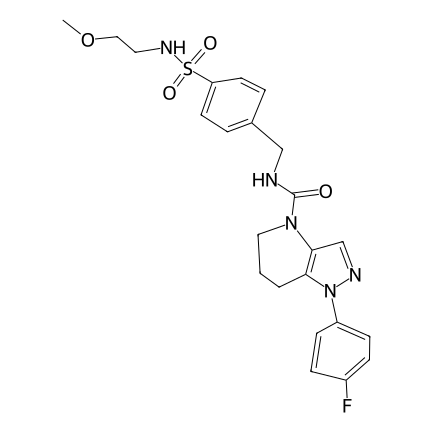 COCCNS(=O)(=O)c1ccc(CNC(=O)N2CCCc3c2cnn3-c2ccc(F)cc2)cc1